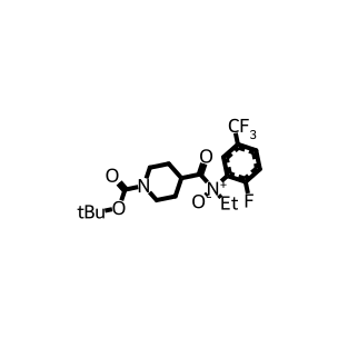 CC[N+]([O-])(C(=O)C1CCN(C(=O)OC(C)(C)C)CC1)c1cc(C(F)(F)F)ccc1F